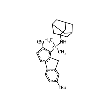 CC(C)(C)c1ccc2c(c1)Cc1c-2ccc(C(C)(C)C)[c]1[Zr]([CH3])([CH3])[NH]C12CC3CC(CC(C3)C1)C2